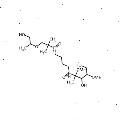 COC(CO)C(O)C(C)(OC)[PH](=O)CCCC[PH](=O)C(C)(C)COC(C)CO